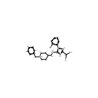 Fc1ccccc1-n1nc(C(F)F)nc1OCC1CCN(Cc2ccccc2)CC1